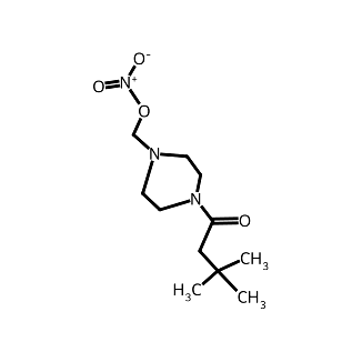 CC(C)(C)CC(=O)N1CCN(CO[N+](=O)[O-])CC1